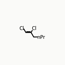 [CH2]CCCC(Cl)=CCl